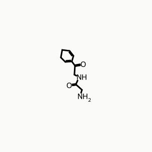 NCC(=O)NCC(=O)C1=CCCC=C1